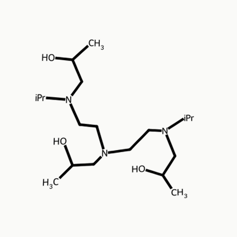 CC(O)CN(CCN(CC(C)O)C(C)C)CCN(CC(C)O)C(C)C